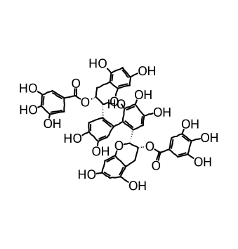 O=C(O[C@@H]1Cc2c(O)cc(O)cc2O[C@@H]1c1cc(O)c(O)cc1-c1c([C@H]2Oc3cc(O)cc(O)c3C[C@H]2OC(=O)c2cc(O)c(O)c(O)c2)cc(O)c(O)c1O)c1cc(O)c(O)c(O)c1